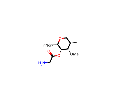 CCCCCCCCC[C@@H]1OC[C@H](C)[C@H](OC)[C@@H]1OC(=O)CN